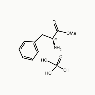 COC(=O)[C@@H](N)Cc1ccccc1.O=P(O)(O)O